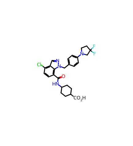 O=C(NC1CCC(C(=O)O)CC1)c1ccc(Cl)c2cnn(Cc3ccc(N4CCC(F)(F)C4)cc3)c12